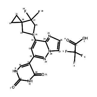 O=C(O)C(F)(F)F.O=c1[nH]cc(-c2cc(N3CC(F)(F)C4(CC4)C3)c3nccn3n2)c(=O)[nH]1